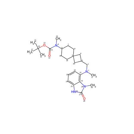 CN(CC1CC2(CCC(N(C)C(=O)OC(C)(C)C)CC2)C1)c1cccc2[nH]c(=O)n(C)c12